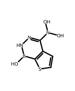 OB1NN=C(N(O)O)c2ccsc21